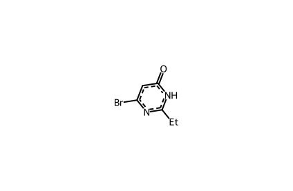 CCc1nc(Br)cc(=O)[nH]1